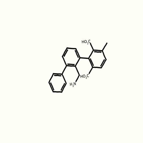 Cc1ccc(C(=O)O)c(-c2cccc(-c3ccccc3)c2CN)c1C(=O)O